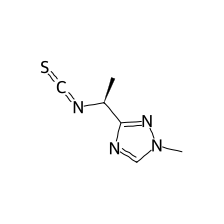 C[C@H](N=C=S)c1ncn(C)n1